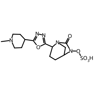 CN1CCC(c2nnc(C3CCC4CN3C(=O)N4OS(=O)(=O)O)o2)CC1